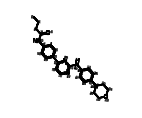 CCCC(=O)Nc1ccc(-c2ccnc(Nc3ccc(N4CCOCC4)cc3)n2)cc1